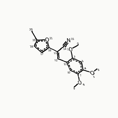 COc1cc(OC)c(OC)cc1C=C(C#N)c1ccc(C)o1